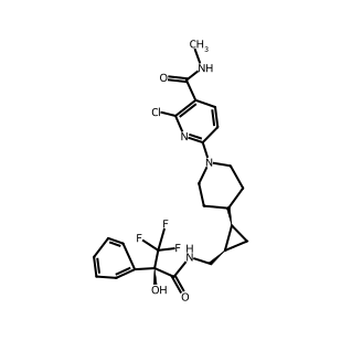 CNC(=O)c1ccc(N2CCC([C@H]3C[C@H]3CNC(=O)[C@](O)(c3ccccc3)C(F)(F)F)CC2)nc1Cl